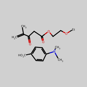 C=C(C)C(=O)CC(=O)OCCOCC.CN(C)c1ccc(C(=O)O)cc1